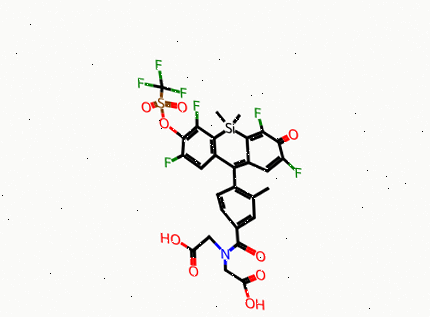 Cc1cc(C(=O)N(CC(=O)O)CC(=O)O)ccc1C1=C2C=C(F)C(=O)C(F)=C2[Si](C)(C)c2c1cc(F)c(OS(=O)(=O)C(F)(F)F)c2F